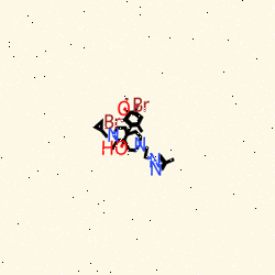 COc1c(Br)cc(C)c(C23CCN(CCn4cc(C)cn4)CCC2(O)C(C)N(CC2CC2)CC3)c1Br